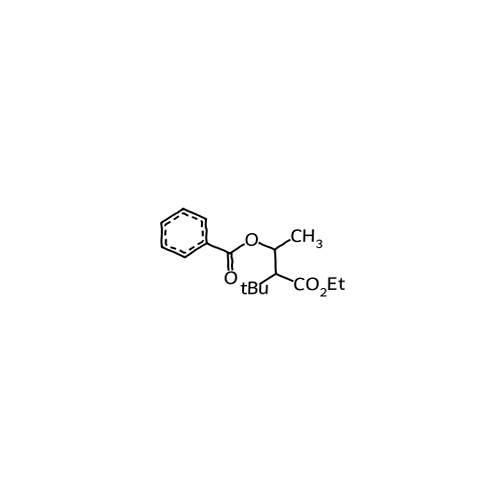 CCOC(=O)C(C(C)OC(=O)c1ccccc1)C(C)(C)C